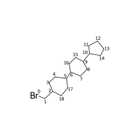 BrCC1CCC(C2CCC(C3CCCC3)CC2)CC1